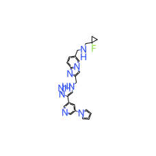 N=N/C(=C\NCc1cn2cc(CNCC3(F)CC3)ccc2n1)c1cncc(-n2cccc2)c1